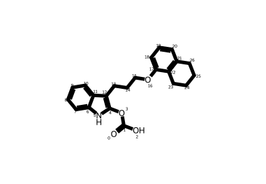 O=C(O)Oc1[nH]c2ccccc2c1CCCOc1cccc2c1CCCC2